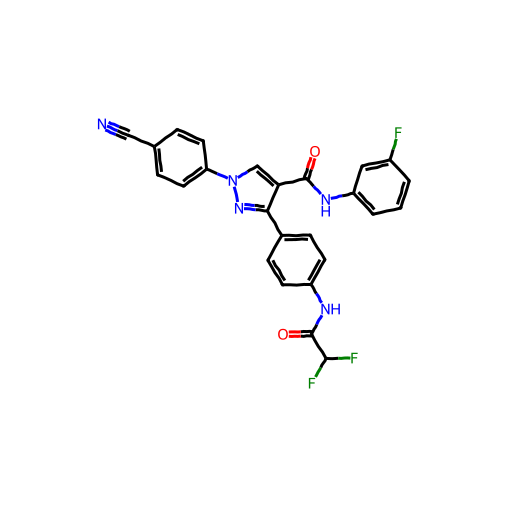 N#Cc1ccc(-n2cc(C(=O)Nc3cccc(F)c3)c(-c3ccc(NC(=O)C(F)F)cc3)n2)cc1